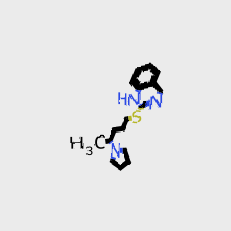 CC(CCCSC1=NCc2ccccc2N1)N1CCCC1